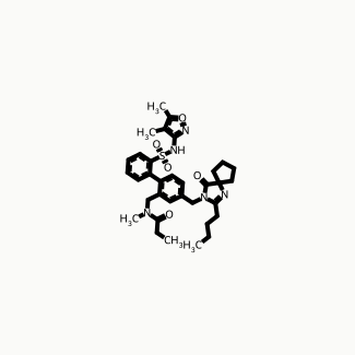 CCCCC1=NC2(CCCC2)C(=O)N1Cc1ccc(-c2ccccc2S(=O)(=O)Nc2noc(C)c2C)c(CN(C)C(=O)CC)c1